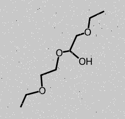 CCOCCOC(O)COCC